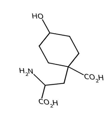 NC(CC1(C(=O)O)CCC(O)CC1)C(=O)O